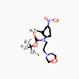 Cc1cc([N+](=O)[O-])ccc1N(CCN1CCOCC1)C(=O)OC(C)(C)C